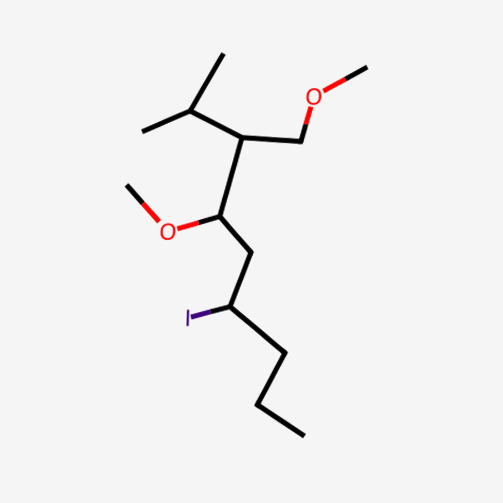 CCCC(I)CC(OC)C(COC)C(C)C